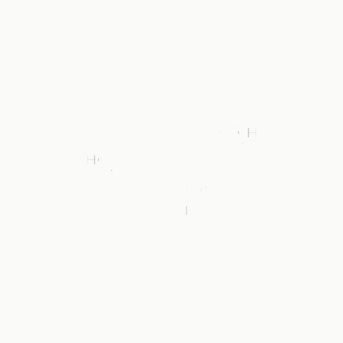 O=C(O)CCC(=O)O.[Ca+2].[H+]